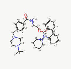 CC(C)N1CCN(Cc2ccc(C(=O)N(C)CCOC(=O)N(c3ccccc3-c3ccccc3)N3CC[CH]CC3)cc2)CC1